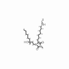 CCCCCCC(C)(O)CCN1C(=O)N(C)C(=O)C1CCCCCCCNSC